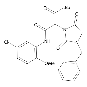 COc1ccc(Cl)cc1NC(=O)C(C(=O)C(C)(C)C)N1C(=O)CN(Cc2ccccc2)C1=O